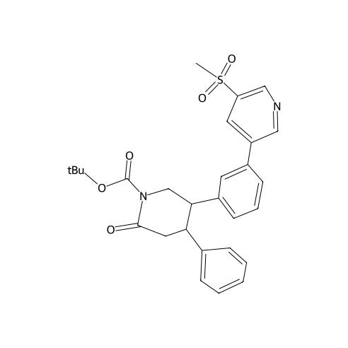 CC(C)(C)OC(=O)N1CC(c2cccc(-c3cncc(S(C)(=O)=O)c3)c2)C(c2ccccc2)CC1=O